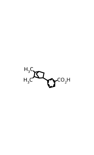 CC1C2CC(c3cccc(C(=O)O)c3)C(C2)C1C